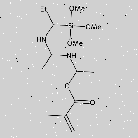 C=C(C)C(=O)OC(C)NC(C)NC(CC)[Si](OC)(OC)OC